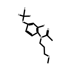 CSCCCN(C(C)=O)c1ccc(SC(F)(F)F)cc1F